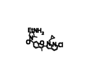 CCC1CN(C(=O)c2ccc3c(C)c(-c4cc5ccc(Cl)nc5n4CC4CC4)oc3c2)C(C)[C@@H]1N